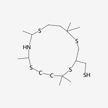 CC1NC(C)SCCC(C)(C)SC(CS)CSC(C)(C)CCS1